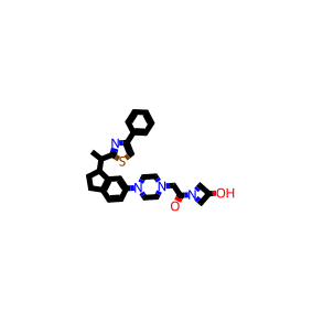 CC(c1nc(-c2ccccc2)cs1)C1CCc2ccc(N3CCN(CC(=O)N4CC(O)C4)CC3)cc21